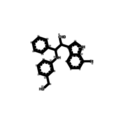 CCc1cccc2c(C(C=O)C(Nc3cccc(CO)c3)c3ccccc3)c[nH]c12